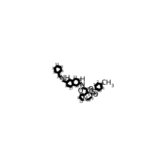 Cc1ccc(S(=O)(=O)N2CCn3cccc3C2CC(=O)NC2CCc3cc(CNCc4ccccc4)ccc3C2)cc1